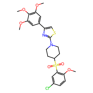 COc1ccc(Cl)cc1S(=O)(=O)C1CCN(c2nc(-c3cc(OC)c(OC)c(OC)c3)cs2)CC1